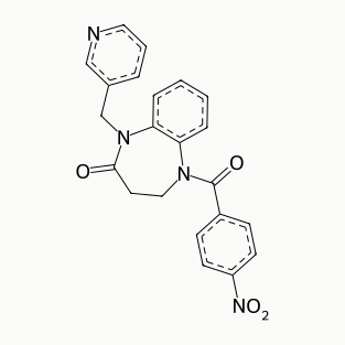 O=C1CCN(C(=O)c2ccc([N+](=O)[O-])cc2)c2ccccc2N1Cc1cccnc1